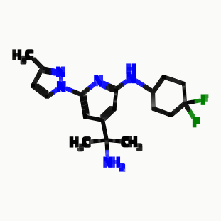 Cc1ccn(-c2cc(C(C)(C)N)cc(NC3CCC(F)(F)CC3)n2)n1